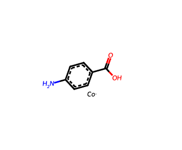 Nc1ccc(C(=O)O)cc1.[Co]